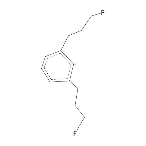 FCCCc1[c]c(CCCF)ccc1